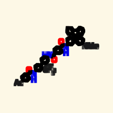 CNc1ccc(C2(c3ccc(NC(=O)c4ccc(C(=O)Nc5ccc(-c6ccc(NC(=O)c7ccc(C(C)=O)cc7)cc6C(F)(F)F)c(C(F)(F)F)c5)cc4)cc3)c3ccccc3-c3ccccc32)cc1